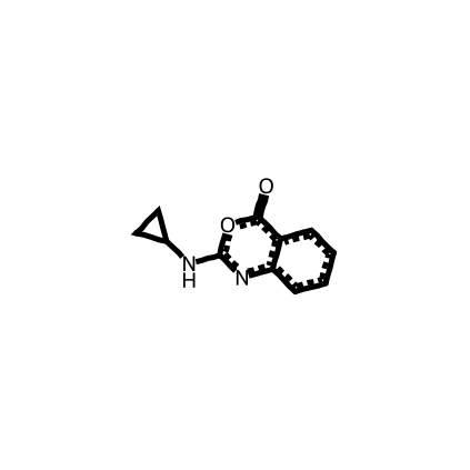 O=c1oc(NC2CC2)nc2ccccc12